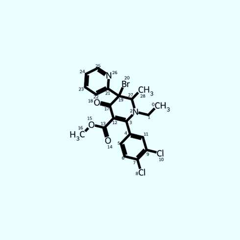 CCN1C(c2ccc(Cl)c(Cl)c2)=C(C(=O)OC)C(=O)C(Br)(c2ccccn2)C1C